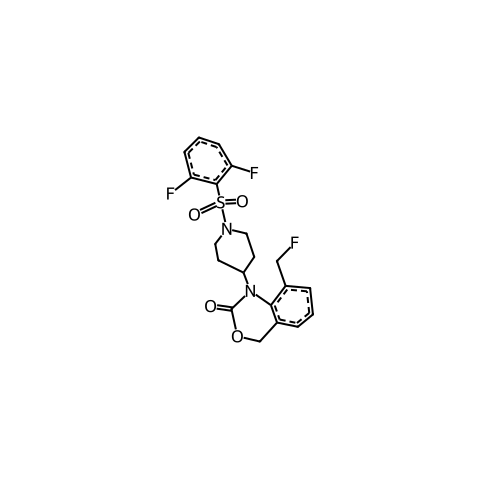 O=C1OCc2cccc(CF)c2N1C1CCN(S(=O)(=O)c2c(F)cccc2F)CC1